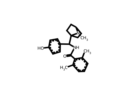 Cc1cccc(C)c1C(=O)NC(c1ccc(O)cc1)C12CCC(CC1)N2C